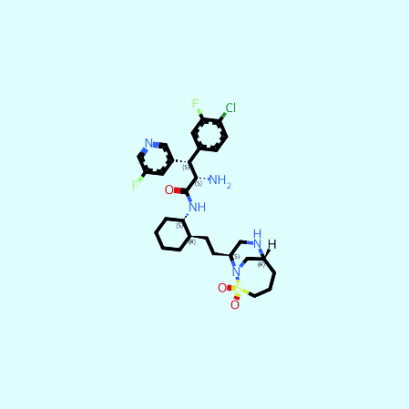 N[C@H](C(=O)N[C@H]1CCCC[C@@H]1CC[C@H]1CN[C@@H]2CCCS(=O)(=O)N1C2)[C@H](c1cncc(F)c1)c1ccc(Cl)c(F)c1